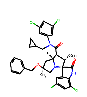 C[C@]1(OCc2ccccc2)C[C@@H]2C(C(=O)N(CC3CC3)c3cc(Cl)cc(Cl)c3)[C@H](C(=O)O)[C@@]3(C(=O)Nc4c(Cl)cc(Cl)cc43)N2C1